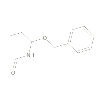 [CH2]CC(NC=O)OCc1ccccc1